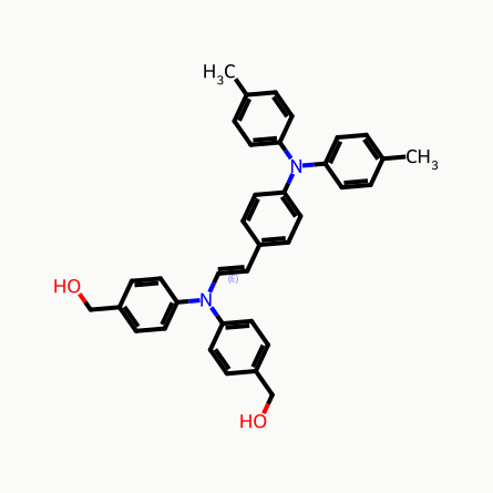 Cc1ccc(N(c2ccc(C)cc2)c2ccc(/C=C/N(c3ccc(CO)cc3)c3ccc(CO)cc3)cc2)cc1